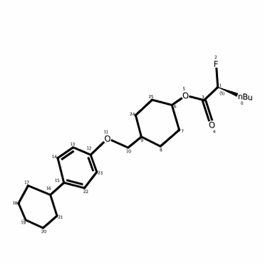 CCCC[C@H](F)C(=O)OC1CCC(COc2ccc(C3CC[CH]CC3)cc2)CC1